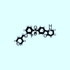 O=S(=O)(C1=CCC2C(=C1)OC1CCCNC12)c1cccc(OCC2CCOCC2)c1F